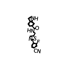 N#Cc1ccc(-c2ncc(CNC(=O)c3ccc4cc[nH]c4c3)s2)c(F)c1